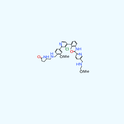 COCCNCc1ccc(C(=O)Nc2cccc(-c3ccnc(-c4ccc(CNCC5CCC(=O)N5)c(OC)c4)c3Cl)c2C)nc1